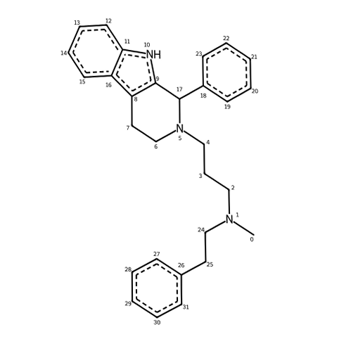 CN(CCCN1CCc2c([nH]c3ccccc23)C1c1ccccc1)CCc1ccccc1